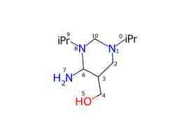 CC(C)N1CC(CO)C(N)N(C(C)C)C1